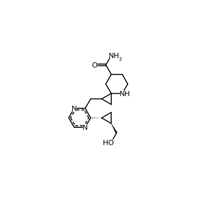 NC(=O)C1CCNC2(C1)CC2Cc1nccnc1[C@@H]1C[C@H]1CO